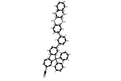 N#Cc1ccc2c(c1)C(c1ccccc1)(c1ccccc1)c1cc(-c3cccc(-c4ccc5c(c4)Sc4nc6ccccc6nc4S5)c3)ccc1-2